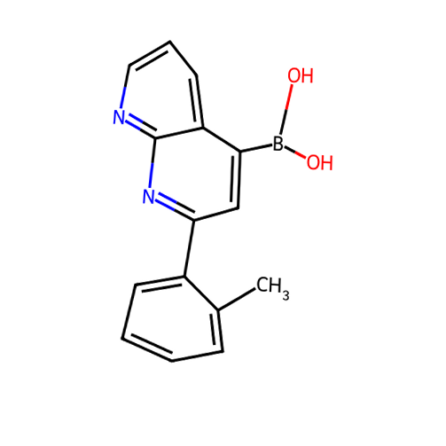 Cc1ccccc1-c1cc(B(O)O)c2cccnc2n1